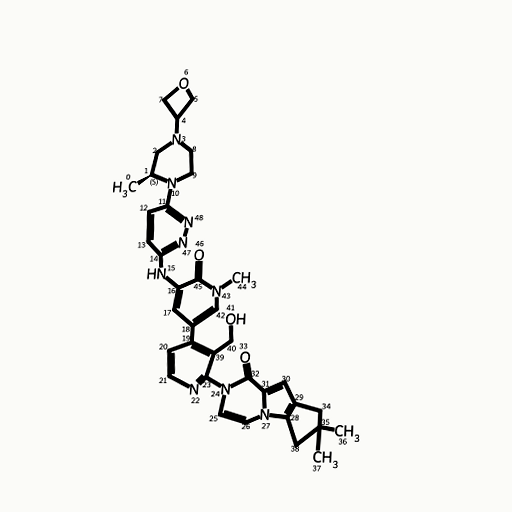 C[C@H]1CN(C2COC2)CCN1c1ccc(Nc2cc(-c3ccnc(-n4ccn5c6c(cc5c4=O)CC(C)(C)C6)c3CO)cn(C)c2=O)nn1